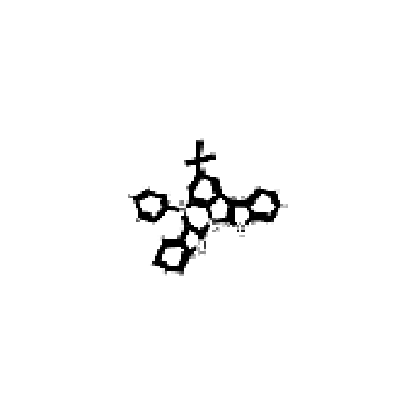 CC(C)(C)c1cc2c3c(c1)N(c1ccccc1)C1c4ccccc4OC1B3c1oc3ccccc3c1-2